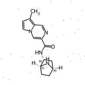 Cc1ccn2cc(C(=O)N[C@@H]3C[C@H]4CC[C@@H]3N4)ncc12